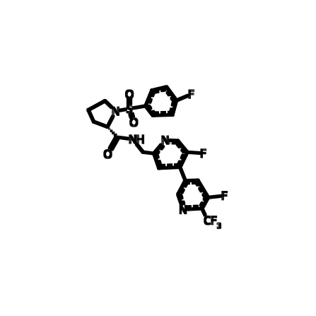 O=C(NCc1cc(-c2cnc(C(F)(F)F)c(F)c2)c(F)cn1)[C@@H]1CCCN1S(=O)(=O)c1ccc(F)cc1